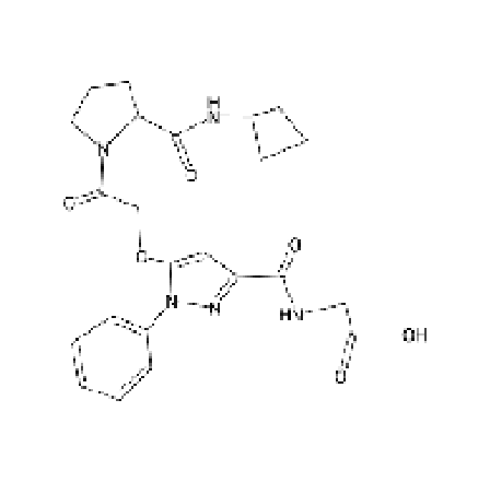 O=C(O)CNC(=O)c1cc(OCC(=O)N2CCCC2C(=O)NC2CCC2)n(-c2ccccc2)n1